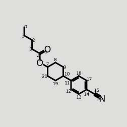 CCCCC(=O)OC1CCC(c2ccc(C#N)cc2)CC1